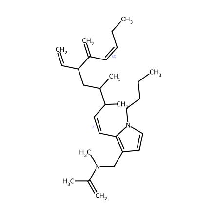 C=CC(CC(C)C(C)/C=C\c1c(CN(C)C(=C)C)ccn1CCCC)C(=C)/C=C\CC